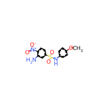 COc1ccc(NS(=O)(=O)c2ccc([N+](=O)[O-])c(N)c2)cc1